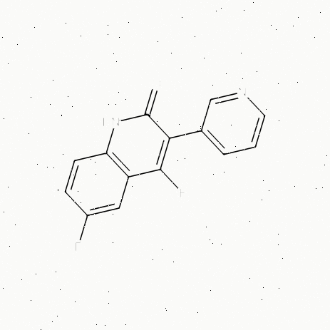 O=c1[nH]c2ccc(F)cc2c(F)c1-c1cccnc1